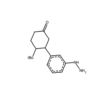 CC(C)(C)C1CCC(=O)CC1c1cccc(NN)c1